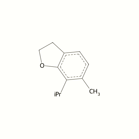 Cc1ccc2c(c1C(C)C)OCC2